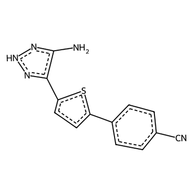 N#Cc1ccc(-c2ccc(-c3n[nH]nc3N)s2)cc1